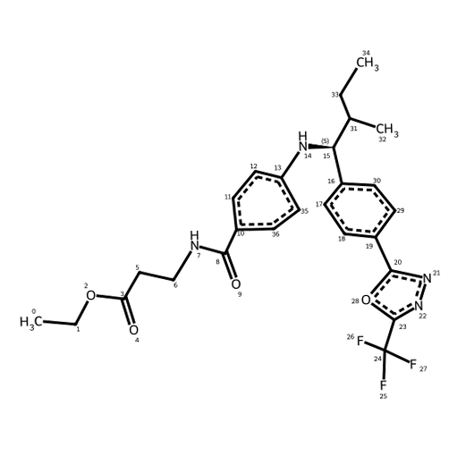 CCOC(=O)CCNC(=O)c1ccc(N[C@H](c2ccc(-c3nnc(C(F)(F)F)o3)cc2)C(C)CC)cc1